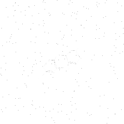 Cc1ccc(Oc2ccnc(C(=O)O)c2)c(C)n1